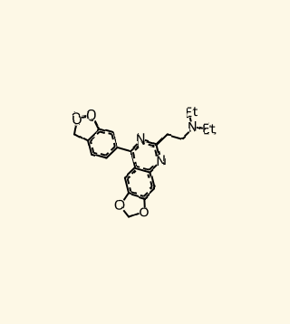 CCN(CC)CCc1nc(-c2ccc3c(c2)OOC3)c2cc3c(cc2n1)OCO3